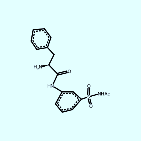 CC(=O)NS(=O)(=O)c1cccc(NC(=O)[C@@H](N)Cc2ccccc2)c1